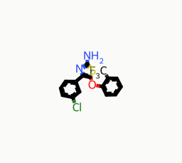 Nc1nc(-c2cccc(Cl)c2)c(Oc2ccccc2C(F)(F)F)s1